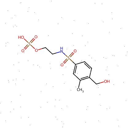 Cc1cc(S(=O)(=O)NCCOS(=O)(=O)O)ccc1CO